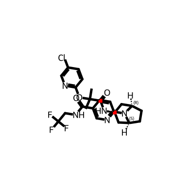 CC(C)(Oc1ccc(Cl)cn1)C(=O)N[C@H]1C[C@H]2CC[C@@H](C1)N2c1ccc(C(=O)NCC(F)(F)F)cn1